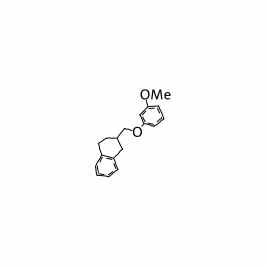 COc1cccc(OCC2CCc3ccccc3C2)c1